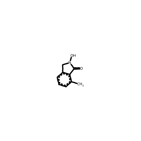 Cc1cccc2c1C(=O)N(O)C2